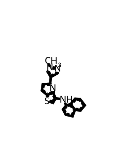 Cn1cc(-c2ccc3scc(Nc4cccc5ccccc45)c3n2)cn1